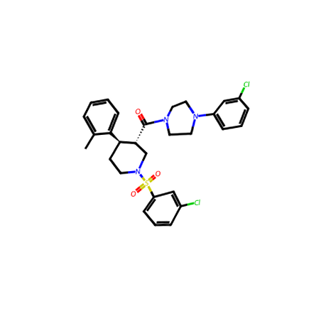 Cc1ccccc1[C@@H]1CCN(S(=O)(=O)c2cccc(Cl)c2)C[C@H]1C(=O)N1CCN(c2cccc(Cl)c2)CC1